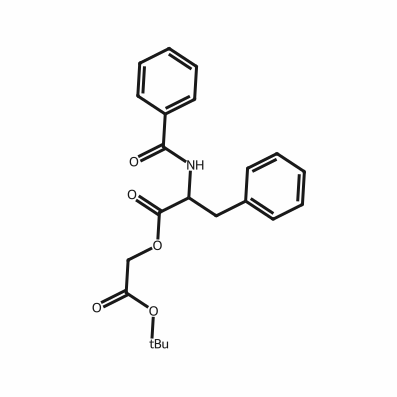 CC(C)(C)OC(=O)COC(=O)C(Cc1ccccc1)NC(=O)c1ccccc1